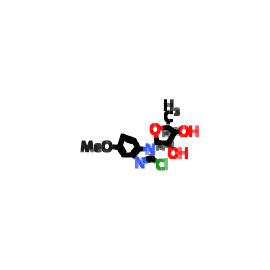 COc1ccc2c(c1)nc(Cl)n2[C@@H]1O[C@H](C)[C@@H](O)[C@H]1O